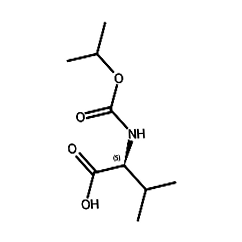 CC(C)OC(=O)N[C@H](C(=O)O)C(C)C